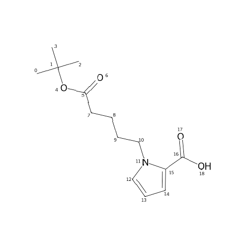 CC(C)(C)OC(=O)CCCCn1cccc1C(=O)O